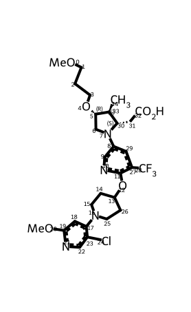 COCCCO[C@H]1CN(c2cnc(OC3CCN(c4cc(OC)ncc4Cl)CC3)c(C(F)(F)F)c2)[C@@H](CC(=O)O)[C@@H]1C